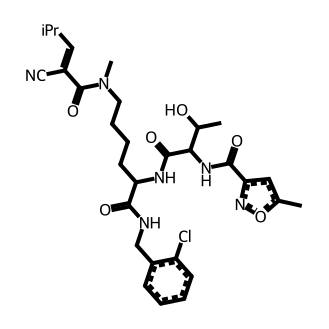 Cc1cc(C(=O)NC(C(=O)NC(CCCCN(C)C(=O)C(C#N)=CC(C)C)C(=O)NCc2ccccc2Cl)C(C)O)no1